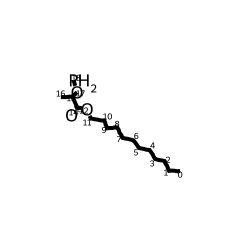 CCCCCCCCCCCCOC(=O)C(C)OP